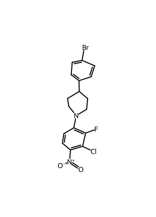 O=[N+]([O-])c1ccc(N2CCC(c3ccc(Br)cc3)CC2)c(F)c1Cl